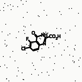 O=C(O)c1nc2ccc(Cl)c(F)c2c(=O)[nH]1